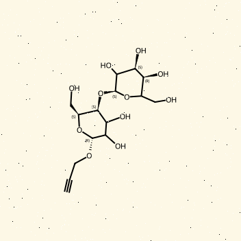 C#CCO[C@@H]1O[C@@H](CO)[C@@H](O[C@@H]2OC(CO)[C@H](O)[C@H](O)C2O)C(O)C1O